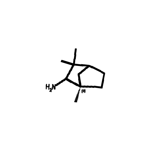 CC1(C)C2CC[C@](C)(C2)C1N